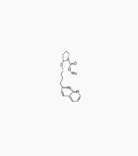 CC(C)(C)OC(=O)N1CCCC1OCCCCc1ccc2cccnc2n1